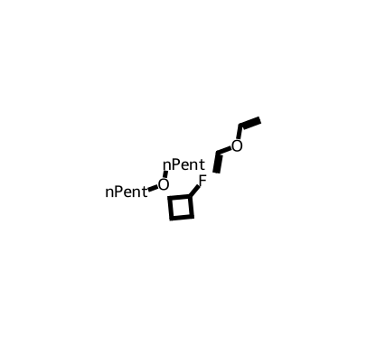 C=COC=C.CCCCCOCCCCC.FC1CCC1